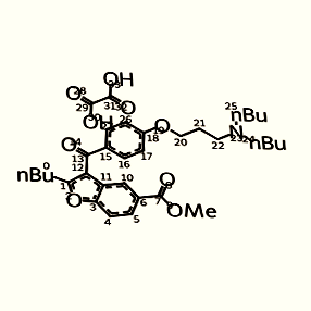 CCCCc1oc2ccc(C(=O)OC)cc2c1C(=O)c1ccc(OCCCN(CCCC)CCCC)cc1.O=C(O)C(=O)O